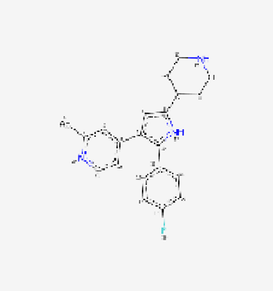 CC(=O)c1cc(-c2cc(C3CCNCC3)[nH]c2-c2ccc(F)cc2)ccn1